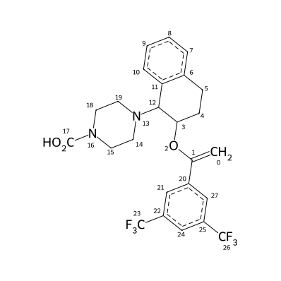 C=C(OC1CCc2ccccc2C1N1CCN(C(=O)O)CC1)c1cc(C(F)(F)F)cc(C(F)(F)F)c1